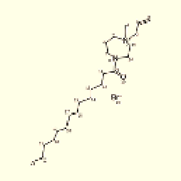 C=CC[N+]1(C)CCCN(C(=O)CCCCCCCCCCCCC)CC1.[Br-]